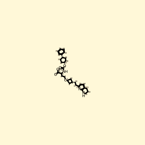 O=C(NC(CCO[C@H]1C[C@H](CCc2ccc3c(n2)NCCC3)C1)C(=O)O)O[C@H]1CC[C@H](c2ccccc2)CC1